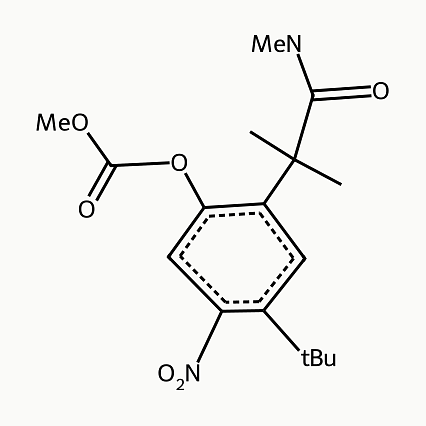 CNC(=O)C(C)(C)c1cc(C(C)(C)C)c([N+](=O)[O-])cc1OC(=O)OC